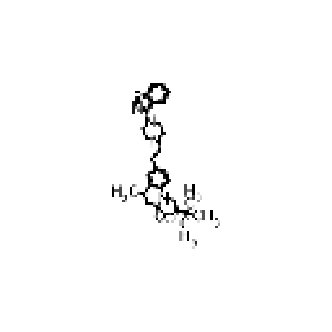 CC1CC(=O)N(CC(=O)C(C)(C)C)c2ccc(CCN3CCN(c4nsc5ccccc45)CC3)cc21